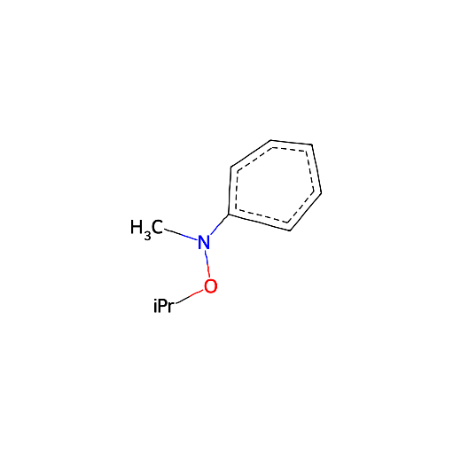 CC(C)ON(C)c1ccccc1